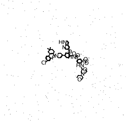 CC1(C)CCC(CN2CC=C(c3ccc(C(=O)N[S+]([O-])c4ccc(NCC5CN(C6CCOCC6)CCO5)c([N+](=O)[O-])c4)c(Oc4cnc5[nH]ccc5c4)c3)CC2)=C(c2ccc(Cl)cc2F)C1